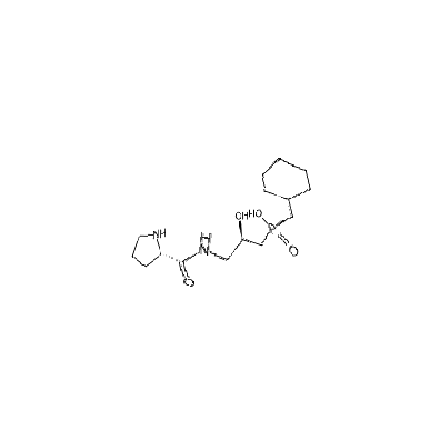 O=C(NC[C@@H](O)CP(=O)(O)CC1CCCCC1)[C@@H]1CCCN1